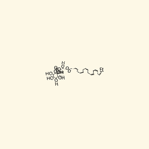 CC/C=C\C/C=C\C/C=C\C/C=C\C/C=C\C/C=C\CCC(=O)OCC(O)COP(=O)(O)OC1C(O)C(O)C(O)C(O)C1O